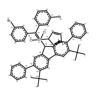 CC(C)(C)c1cc2c(cc1-c1ccccc1)[CH]([Zr]([Cl])([Cl])(=[C](c1cccc(Br)c1)c1cccc(Br)c1)[CH]1C=CC=C1)c1cc(-c3ccccc3)c(C(C)(C)C)cc1-2